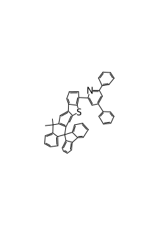 CC1(C)c2ccccc2C2(c3ccccc3-c3ccccc32)c2cc3sc4c(-c5cc(-c6ccccc6)cc(-c6ccccc6)n5)cccc4c3cc21